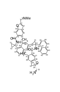 CNCc1cc2cc(C)c(C(=O)NC3(c4cccc5cc(C6CC6(NC(=O)c6cc7c(cc6C)C[C@@H](CN)O7)c6cccc7ccccc67)ccc45)CC3)cc2o1